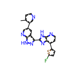 Cc1ccncc1-c1cnc2[nH]nc(-c3nc4c(-c5ccc(F)s5)ccnc4[nH]3)c2c1